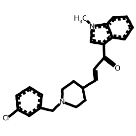 Cn1cc(C(=O)C=CC2CCN(Cc3cccc(Cl)c3)CC2)c2ccccc21